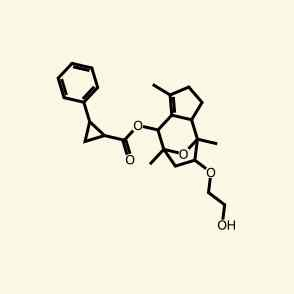 CC1=C2C(OC(=O)C3CC3c3ccccc3)C3(C)CC(OCCO)C(C)(O3)C2CC1